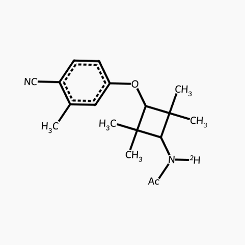 [2H]N(C(C)=O)C1C(C)(C)C(Oc2ccc(C#N)c(C)c2)C1(C)C